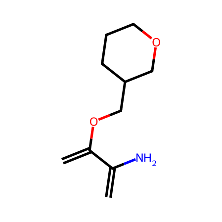 C=C(N)C(=C)OCC1CCCOC1